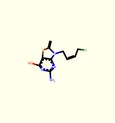 C=C1Sc2c(O)nc(N)nc2N1C/C=C\CCl